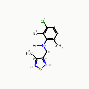 CCc1c(Cl)ccc(C)c1N(Cc1nsnc1C)C(C)=O